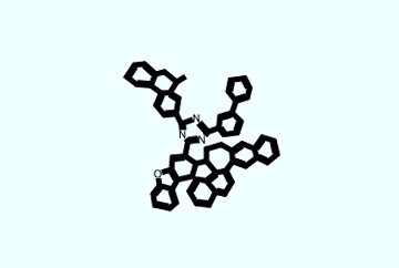 CC1Cc2ccccc2-c2ccc(-c3nc(C4=Cc5oc6ccccc6c5CC4C4CCc5cc6ccccc6cc5-c5ccc6ccccc6c54)nc(-c4cccc(-c5ccccc5)c4)n3)cc21